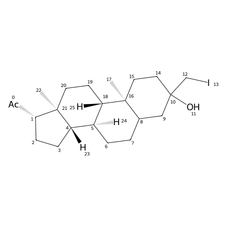 CC(=O)[C@H]1CC[C@H]2[C@@H]3CCC4CC(O)(CI)CC[C@]4(C)[C@H]3CC[C@]12C